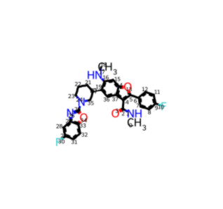 CNC(=O)c1c(-c2ccc(F)cc2)oc2cc(NC)c([C@@H]3CCCN(c4nc5cc(F)ccc5o4)C3)cc12